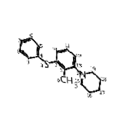 Cc1c(Sc2ccccc2)cccc1N1CCCCC1